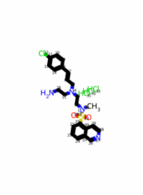 CN(CCN(CC=Cc1ccc(Cl)cc1)CCN)S(=O)(=O)c1cccc2cnccc12.Cl.Cl.Cl